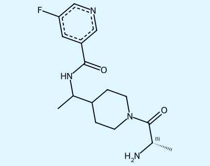 CC(NC(=O)c1cncc(F)c1)C1CCN(C(=O)[C@H](C)N)CC1